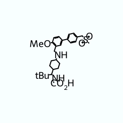 COc1ccc(-c2ccc(CS(C)(=O)=O)cc2)cc1CNC1CCC(C(NC(=O)O)C(C)(C)C)CC1